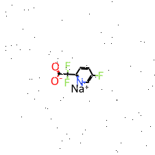 O=C([O-])C(F)(F)c1ccc(F)cn1.[Na+]